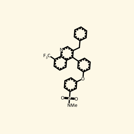 CNS(=O)(=O)c1cccc(Oc2cccc(-c3c(Cc4ccccc4)cnc4c(C(F)(F)F)cccc34)c2)c1